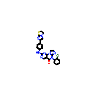 O=c1c2cnc(Nc3ccc(-c4cn5c(n4)SCC5)cc3)nc2n2ccnc2n1-c1ccccc1Cl